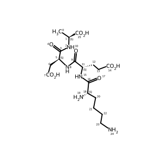 C[C@H](NC(=O)[C@H](CC(=O)O)NC(=O)[C@H](CCC(=O)O)NC(=O)[C@@H](N)CCCCN)C(=O)O